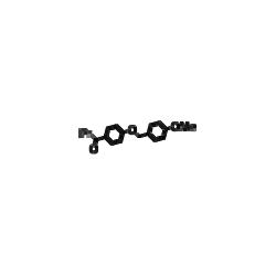 COc1ccc(COc2ccc(C(=O)C(C)C)cc2)cc1